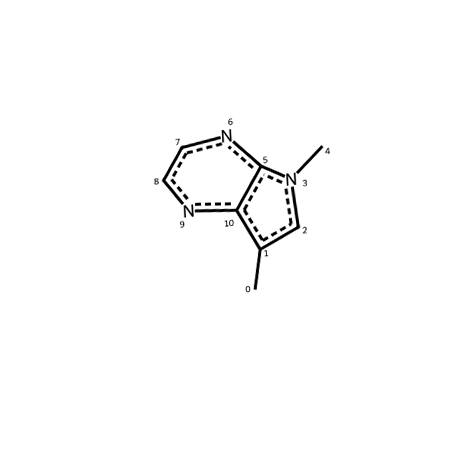 Cc1cn(C)c2nccnc12